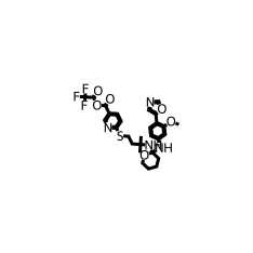 COc1cc(NC2(NC(C)(C)CCSc3ccc(C(=O)OC(=O)C(F)(F)F)cn3)CCCCO2)ccc1-c1cnco1